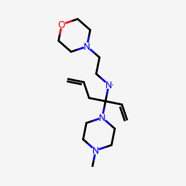 C=CCC(C=C)([N]CCN1CCOCC1)N1CCN(C)CC1